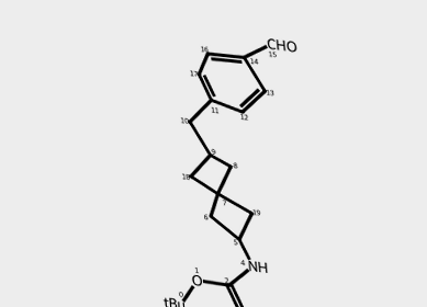 CC(C)(C)OC(=O)NC1CC2(CC(Cc3ccc(C=O)cc3)C2)C1